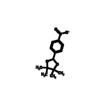 CC1(C)OC(c2ccc([N+](=O)[O-])cc2)OC1(C)C